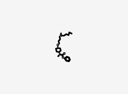 CCCCCN(C)CCCCO[C@H]1CC[C@H](N(C)C(=O)Oc2ccccc2)CC1